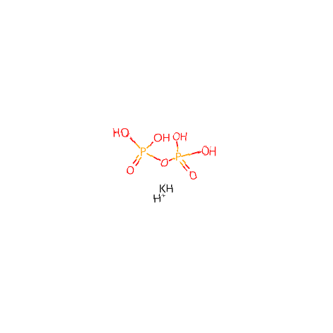 O=P(O)(O)OP(=O)(O)O.[H+].[KH]